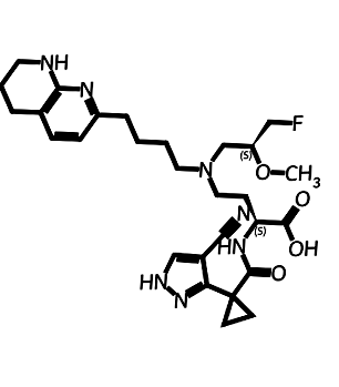 CO[C@H](CF)CN(CCCCc1ccc2c(n1)NCCC2)CC[C@H](NC(=O)C1(c2n[nH]cc2C#N)CC1)C(=O)O